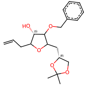 C=CCC1OC(C[C@@H]2COC(C)(C)O2)C(OCc2ccccc2)[C@H]1O